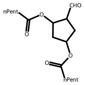 CCCCCC(=O)OC1CC(C=O)C(OC(=O)CCCCC)C1